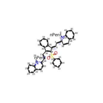 CCCCCN1/C(=C/C=C2C(S(=O)(=O)c3ccccc3)=C(/C=C/c3ccc4ccccc4[n+]3CCCCC)c3ccccc3/2)C=Cc2ccccc21